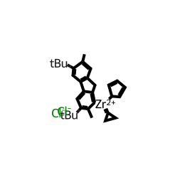 Cc1cc2c(cc1C(C)(C)C)-c1cc(C(C)(C)C)c(C)[c]([Zr+2](=[C]3CC3)[CH]3C=CC=C3)c1C2.[Cl-].[Cl-]